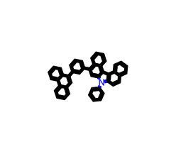 c1ccc(-n2c3ccc4ccccc4c3c3c4ccccc4c(-c4cccc(-c5cc6ccccc6c6ccccc56)c4)cc32)cc1